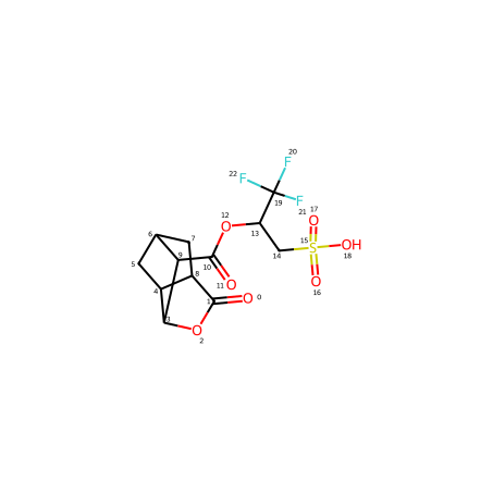 O=C1OC2C3CC(CC13)C2C(=O)OC(CS(=O)(=O)O)C(F)(F)F